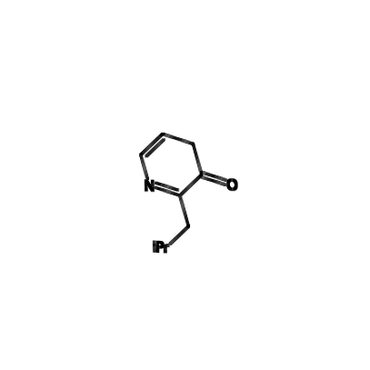 CC(C)CC1=NC=CCC1=O